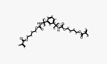 C=C(C)C(=O)OCCCCOC(=O)NC(C)(C)c1cccc(C(C)(C)NC(=O)OCCCCOC(=O)C(=C)C)c1